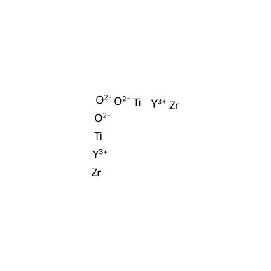 [O-2].[O-2].[O-2].[Ti].[Ti].[Y+3].[Y+3].[Zr].[Zr]